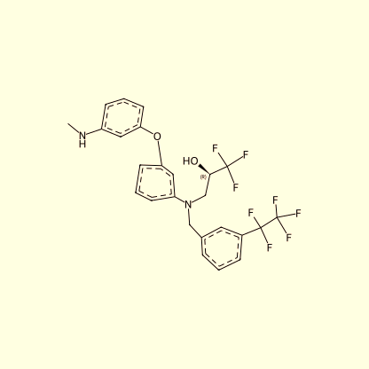 CNc1cccc(Oc2cccc(N(Cc3cccc(C(F)(F)C(F)(F)F)c3)C[C@@H](O)C(F)(F)F)c2)c1